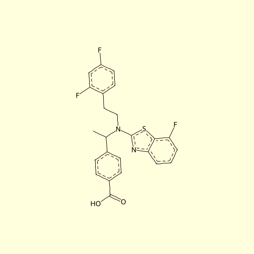 CC(c1ccc(C(=O)O)cc1)N(CCc1ccc(F)cc1F)c1nc2cccc(F)c2s1